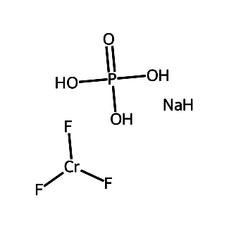 O=P(O)(O)O.[F][Cr]([F])[F].[NaH]